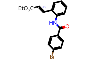 CCOC(=O)/C=C/c1ccccc1NC(=O)c1ccc(Br)cc1